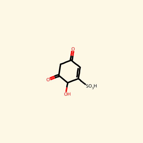 O=C1C=C(S(=O)(=O)O)C(O)C(=O)C1